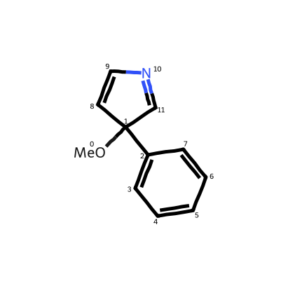 COC1(c2ccccc2)C=CN=C1